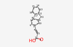 O=C(O)C#Cc1ccc2c(c1)Cc1ccccc1-2